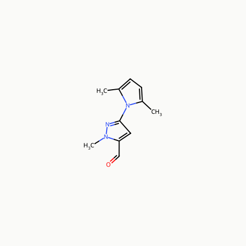 Cc1ccc(C)n1-c1cc(C=O)n(C)n1